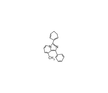 Cc1cccn2c(C3=CCCC=C3)nc(-c3ccccc3)c12